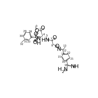 COC(=O)[C@H](CNC(=O)CON=C(C)c1ccc(C(=N)N)cc1)NS(=O)(=O)c1cccc(C)c1